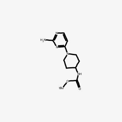 CC(C)(C)OC(=O)NC1CCN(c2ccnc(N)n2)CC1